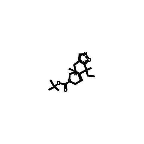 CCC1(C)C2=CCN(C(=O)OC(C)(C)C)C[C@]2(C)Cc2cnoc21